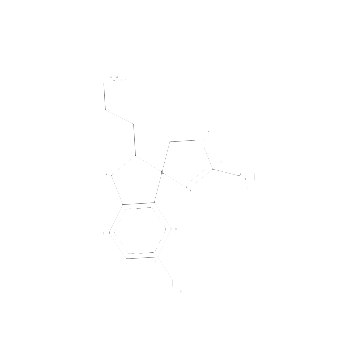 COCCC1Cc2ccc(Br)cc2C12COC(N)=N2